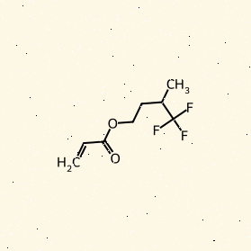 C=CC(=O)OCCC(C)C(F)(F)F